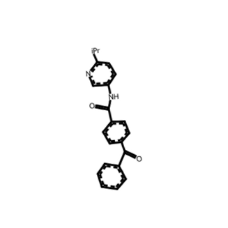 CC(C)c1ccc(NC(=O)c2ccc(C(=O)c3ccccc3)cc2)cn1